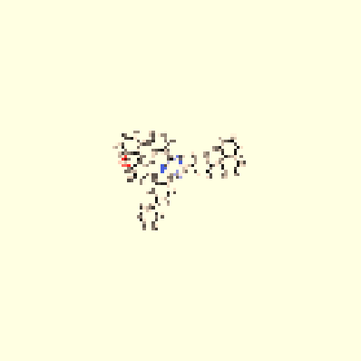 c1ccc(-c2ccc(-c3nc(-c4ccc(-c5cccc6ccccc56)cc4)nc(-c4cccc(-c5cccc6oc7ccccc7c56)c4)n3)cc2)cc1